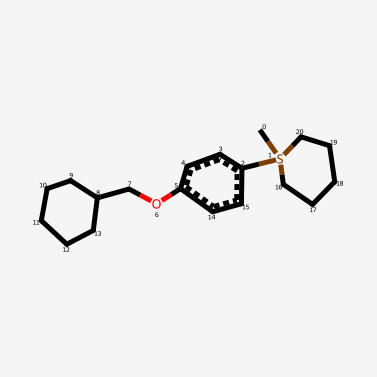 CS1(c2ccc(OCC3CCCCC3)cc2)CCCCC1